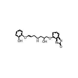 O=C1N=c2cccc(OCC(O)CNCC=COc3ccccc3O)c2=N1